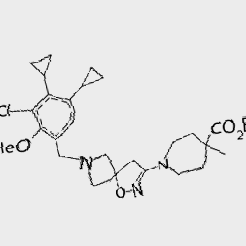 CCOC(=O)C1(C)CCN(C2=NOC3(C2)CN(Cc2cc(C4CC4)c(C4CC4)c(Cl)c2OC)C3)CC1